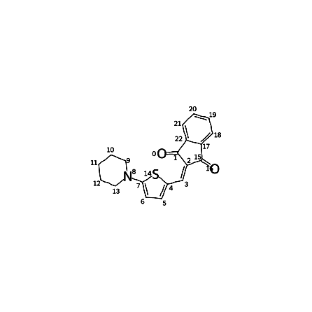 O=C1C(=Cc2ccc(N3CCCCC3)s2)C(=O)c2ccccc21